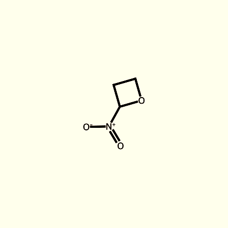 O=[N+]([O-])C1CCO1